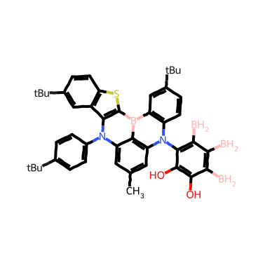 Bc1c(B)c(O)c(O)c(N2c3ccc(C(C)(C)C)cc3B3c4sc5ccc(C(C)(C)C)cc5c4N(c4ccc(C(C)(C)C)cc4)c4cc(C)cc2c43)c1B